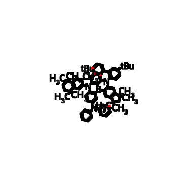 Cc1cc2c(cc1N1c3ccc(N(c4ccccc4)c4ccccc4)cc3B3c4cc5c(cc4N(c4ccc(C(C)(C)C)cc4-c4ccccc4)c4cc(C(C)(C)C)cc1c43)C(C)(C)CC5(C)C)C(C)(C)CCC2(C)C